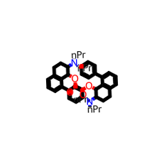 CCCN(CCC)C1CCc2cccc(-c3ccccc3)c2C1OC(=O)C(=O)OC1c2c(cccc2-c2ccccc2)CCC1N(CCC)CCC